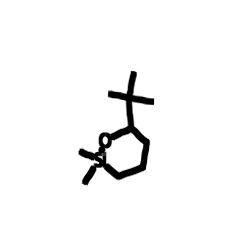 CC(C)(C)C1CCC[Si](C)(C)O1